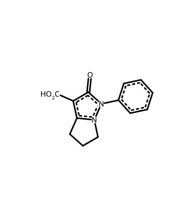 O=C(O)c1c2n(n(-c3ccccc3)c1=O)CCC2